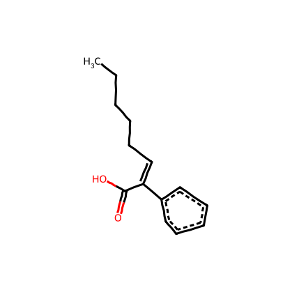 CCCCCC=C(C(=O)O)c1ccccc1